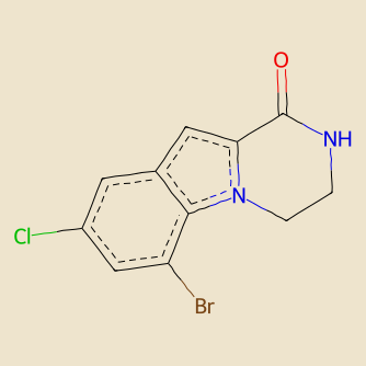 O=C1NCCn2c1cc1cc(Cl)cc(Br)c12